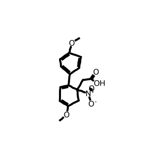 COC1=CC=C(c2ccc(OC)cc2)C(CC(=O)O)([N+](=O)[O-])C1